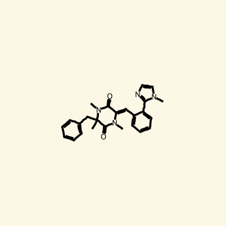 CN1C(=O)C(C)(Cc2ccccc2)N(C)C(=O)C1=Cc1ccccc1-c1nccn1C